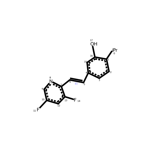 CC(C)c1ccc(/C=C/c2ncc(F)cc2F)cc1O